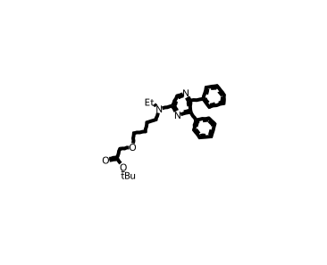 CCN(CCCCOCC(=O)OC(C)(C)C)c1cnc(-c2ccccc2)c(-c2ccccc2)n1